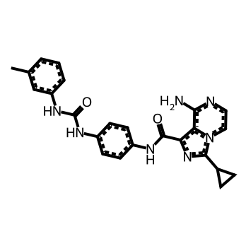 Cc1cccc(NC(=O)Nc2ccc(NC(=O)c3nc(C4CC4)n4ccnc(N)c34)cc2)c1